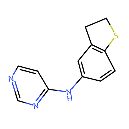 c1cc(Nc2ccc3c(c2)CCS3)ncn1